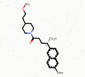 COc1ccc2cc([C@H](CCC(=O)N3CCC(CCO[N+](=O)[O-])CC3)C(=O)O)ccc2c1